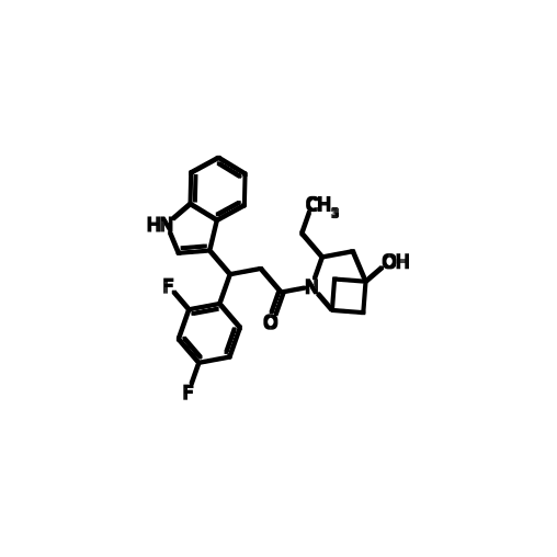 CCC1CC2(O)CC(C2)N1C(=O)CC(c1ccc(F)cc1F)c1c[nH]c2ccccc12